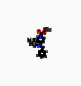 CC(C)(C)OC(=O)N1CC[C@@H](NCc2ccccc2)C(C)(C)C1